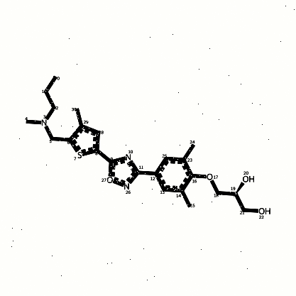 CCCN(C)Cc1sc(-c2nc(-c3cc(C)c(OC[C@@H](O)CO)c(C)c3)no2)cc1C